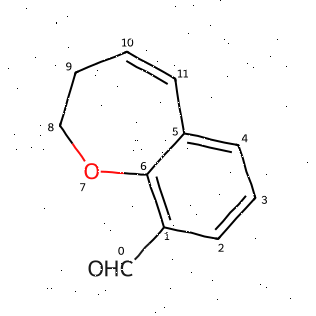 O=Cc1cccc2c1OCCC=C2